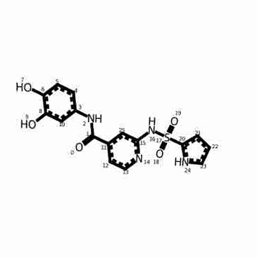 O=C(Nc1ccc(O)c(O)c1)c1ccnc(NS(=O)(=O)c2ccc[nH]2)c1